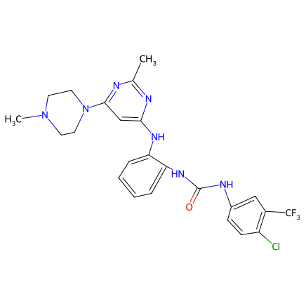 Cc1nc(Nc2ccccc2NC(=O)Nc2ccc(Cl)c(C(F)(F)F)c2)cc(N2CCN(C)CC2)n1